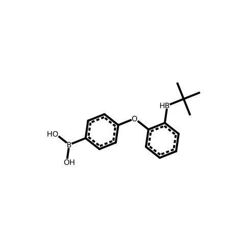 CC(C)(C)Bc1ccccc1Oc1ccc(B(O)O)cc1